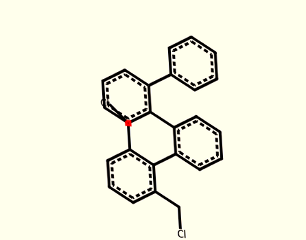 ClCc1cccc(CCl)c1-c1ccccc1-c1ccccc1-c1ccccc1